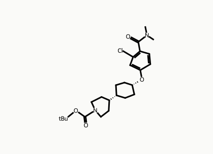 CN(C)C(=O)c1ccc(O[C@H]2CC[C@@H](C3CCN(C(=O)OC(C)(C)C)CC3)CC2)cc1Cl